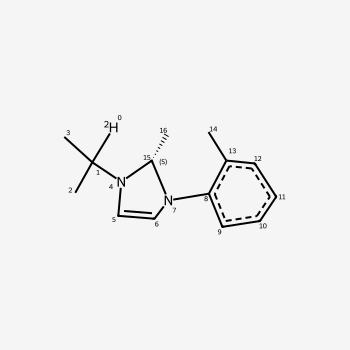 [2H]C(C)(C)N1C=CN(c2ccccc2C)[C@H]1C